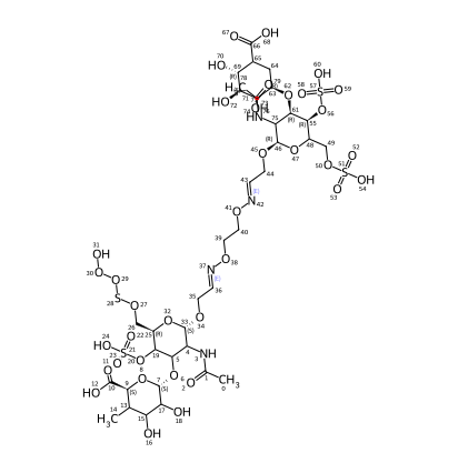 CC(=O)NC1C(O[C@H]2O[C@H](C(=O)O)C(C)C(O)C2O)C(OS(=O)(=O)O)[C@@H](COSOOO)O[C@@H]1OC/C=N/OCCO/N=C/CO[C@@H]1OC(COS(=O)(=O)O)[C@H](OS(=O)(=O)O)[C@H](O[C@@H]2CC(C(=O)O)[C@@H](O)[C@H](O)C2O)C1NC(C)=O